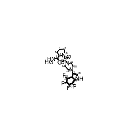 O=C(NO)C1CCCCN1S(=O)(=O)N1CCN(c2c[nH]c3c(F)c(F)c(F)c(F)c23)CC1